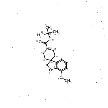 COc1cccc2c1OCC21CCN(C(=O)OC(C)(C)C)CC1